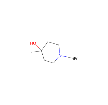 CC(C)N1CCC(C)(O)CC1